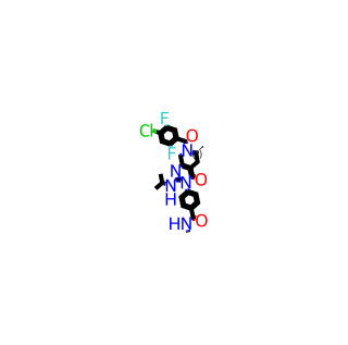 CNC(=O)c1ccc(-n2c(NC(C)C)nc3c(c2=O)C[C@@H](C)N(C(=O)c2cc(F)c(Cl)cc2F)C3)cc1